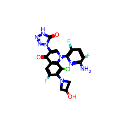 Nc1nc(-n2cc(-n3nn[nH]c3=O)c(=O)c3cc(F)c(N4CC(O)C4)c(Cl)c32)c(F)cc1F